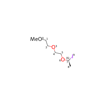 COCCOCCO[C@H](C)I